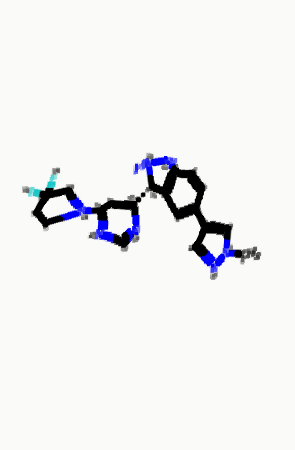 Cn1cc(-c2ccc3c(c2)[C@H](c2cc(N4CCC(F)(F)C4)ncn2)NN3)cn1